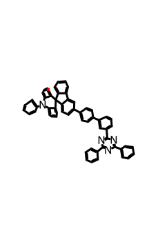 c1ccc(-c2nc(-c3ccccc3)nc(-c3cccc(-c4ccc(-c5ccc6c(c5)-c5ccccc5C65c6ccccc6N(c6ccccc6)c6ccccc65)cc4)c3)n2)cc1